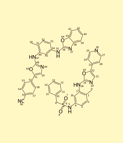 Cc1ccc(NS(=O)(=O)Cc2ccccc2)cc1Nc1ncc(-c2ccncc2)o1.Cc1ccc(Nc2nc3ccccc3o2)cc1Nc1ncc(-c2ccc(C#N)cc2)o1